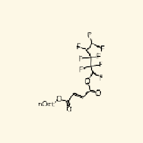 CCCCCCCCOC(=O)C=CC(=O)OC(F)C(F)(F)C(F)(F)C(F)C(F)F